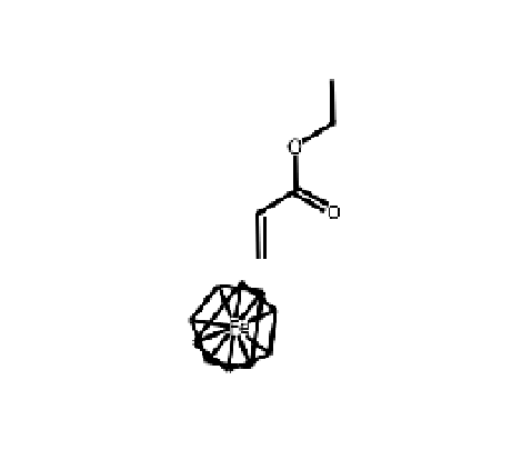 C=CC(=O)OCC.[CH]12[CH]3[CH]4[CH]5[CH]1[Fe]23451678[CH]2[CH]1[CH]6[CH]7[CH]28